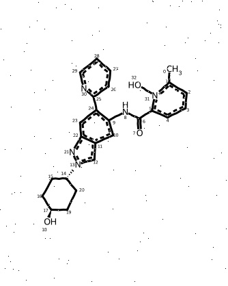 Cc1cccc(C(=O)Nc2cc3cn([C@H]4CC[C@H](O)CC4)nc3cc2-c2ccccn2)[n+]1O